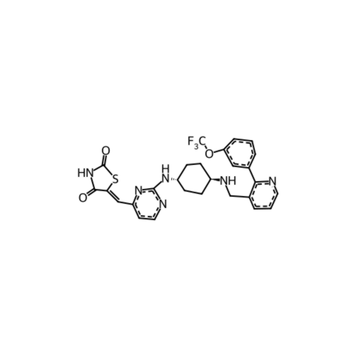 O=C1NC(=O)C(=Cc2ccnc(N[C@H]3CC[C@H](NCc4cccnc4-c4cccc(OC(F)(F)F)c4)CC3)n2)S1